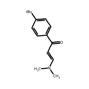 CN(C)C=CC(=O)c1ccc(C(C)(C)C)cc1